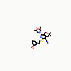 COc1cccc(CCSc2nc(N3CC(C)OC(C)C3)c3c(c2C#N)CC(C)(C)OC3)c1